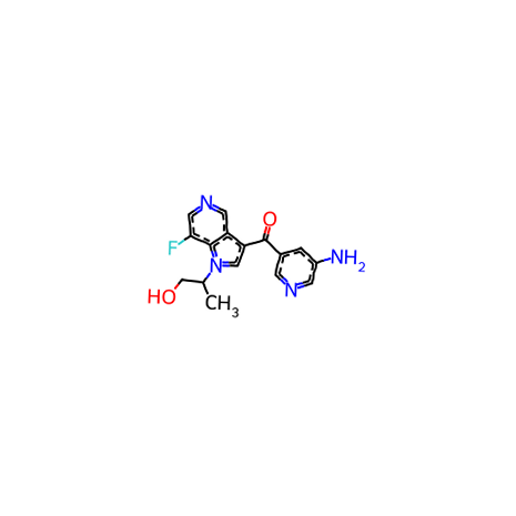 CC(CO)n1cc(C(=O)c2cncc(N)c2)c2cncc(F)c21